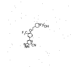 Cn1nnc2c(C#N)nc(-c3ccc(OCCC4CCN(CC(C)(C)O)CC4)c(C(F)(F)F)c3)cc21